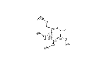 CCCCOC[C@H]1OC(C)[C@H](OCCCC)[C@@H](OCCCC)[C@@H]1OCCCC